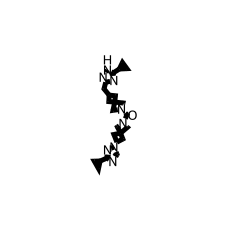 O=C(N1CC2(CC(Cc3n[nH]c(C4CC4)n3)C2)C1)N1CC2(CC(n3cnc(C4CC4)n3)C2)C1